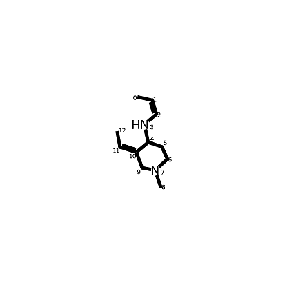 C/C=C\NC1CCN(C)C/C1=C/C